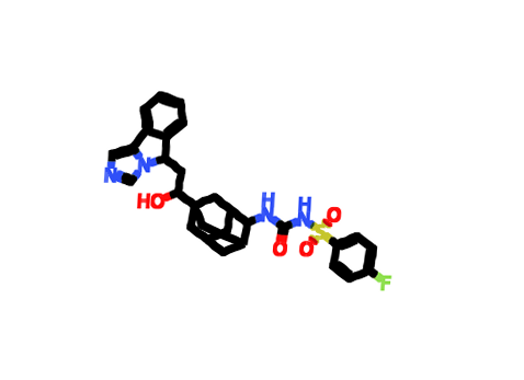 O=C(NC1C2CC3CC1CC(C(O)CC1c4ccccc4-c4cncn41)(C3)C2)NS(=O)(=O)c1ccc(F)cc1